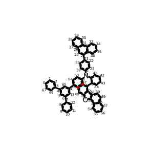 c1ccc(-c2cc(-c3ccccc3)cc(-c3ccc(N(c4ccc(-c5cc6ccccc6c6ccccc56)cc4)c4ccccc4-c4cccc5oc6c7ccccc7ccc6c45)cc3)c2)cc1